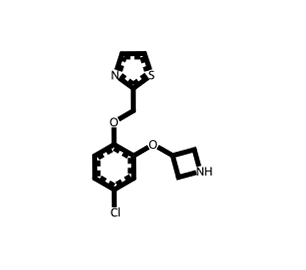 Clc1ccc(OCc2nccs2)c(OC2CNC2)c1